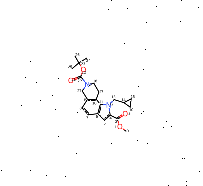 COC(=O)c1cc2ccc3c(c2n1CC1CC1)CCN(C(=O)OC(C)(C)C)C3